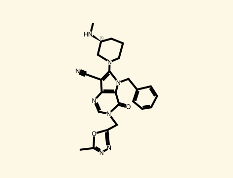 CN[C@H]1CCCN(c2c(C#N)c3ncn(Cc4nnc(C)o4)c(=O)c3n2Cc2ccccc2)C1